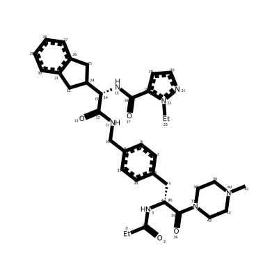 CCC(=O)N[C@H](Cc1ccc(CNC(=O)[C@@H](NC(=O)c2ccnn2CC)C2Cc3ccccc3C2)cc1)C(=O)N1CCN(C)CC1